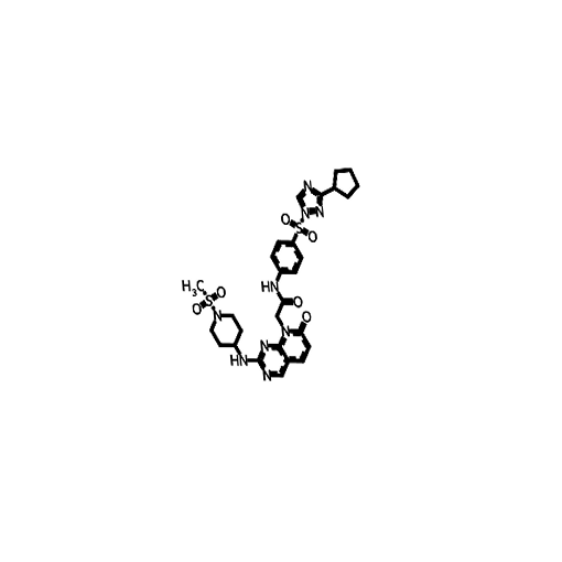 CS(=O)(=O)N1CCC(Nc2ncc3ccc(=O)n(CC(=O)Nc4ccc(S(=O)(=O)n5cnc(C6CCCC6)n5)cc4)c3n2)CC1